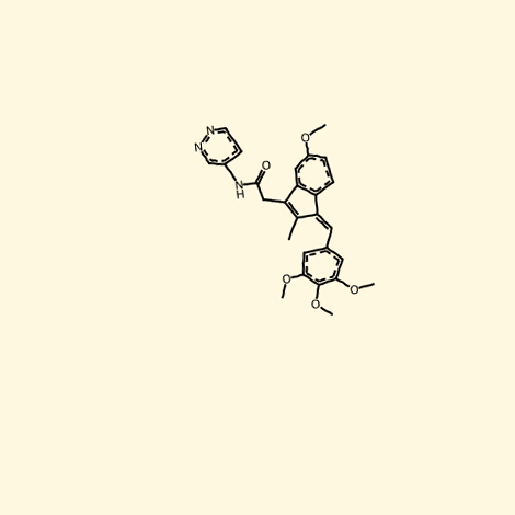 COc1ccc2c(c1)C(CC(=O)Nc1ccnnc1)=C(C)C2=Cc1cc(OC)c(OC)c(OC)c1